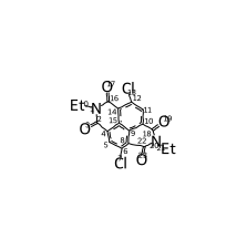 CCN1C(=O)c2cc(Cl)c3c4c(cc(Cl)c(c24)C1=O)C(=O)N(CC)C3=O